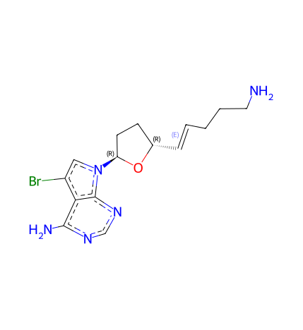 NCCC/C=C/[C@H]1CC[C@H](n2cc(Br)c3c(N)ncnc32)O1